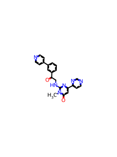 Cn1c(NCC(=O)c2cccc(-c3ccncc3)c2)nc(-c2ccncn2)cc1=O